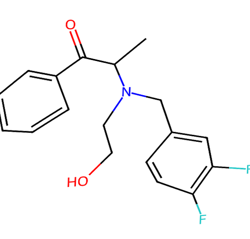 CC(C(=O)c1ccccc1)N(CCO)Cc1ccc(F)c(F)c1